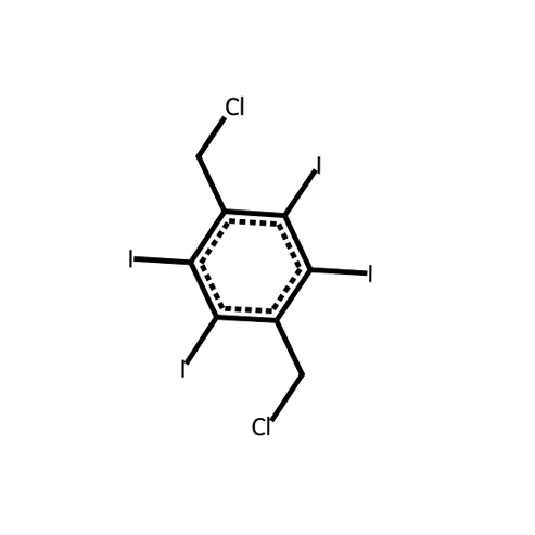 ClCc1c(I)c(I)c(CCl)c(I)c1I